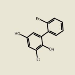 CCc1ccccc1-c1cc(O)cc(CC)c1O